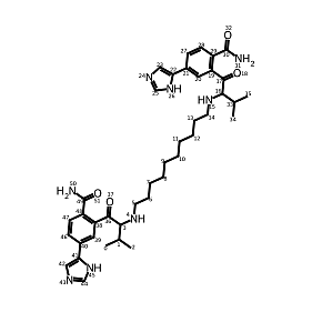 CC(C)C(NCCCCCCCCCCNC(C(=O)c1cc(-c2cnc[nH]2)ccc1C(N)=O)C(C)C)C(=O)c1cc(-c2cnc[nH]2)ccc1C(N)=O